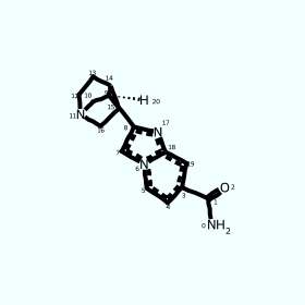 NC(=O)c1ccn2cc([C@H]3CN4CCC3CC4)nc2c1